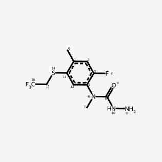 Cc1cc(F)c(N(C)C(=O)NN)cc1SCC(F)(F)F